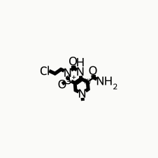 CN1CC2=C(NC(=O)N(CCCl)[S+]2[O-])[C@@H](C(N)=O)C1